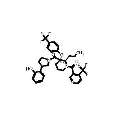 CCC[C@H]1N(C(=O)c2cnccc2C(F)(F)F)CCC[C@@]1(Oc1ccc(C(F)(F)F)cc1)C(=O)N1CCC(c2ccccc2O)C1